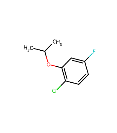 CC(C)Oc1cc(F)ccc1Cl